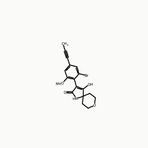 CC#Cc1cc(Br)c(C2=C(O)C3(CCOCC3)NC2=O)c(OC)c1